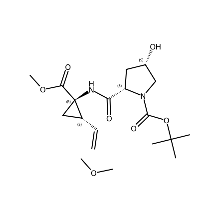 C=C[C@@H]1C[C@]1(NC(=O)[C@@H]1C[C@H](O)CN1C(=O)OC(C)(C)C)C(=O)OC.COC